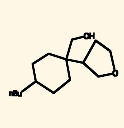 CCCCC1CCC(CO)(C2CCOC2)CC1